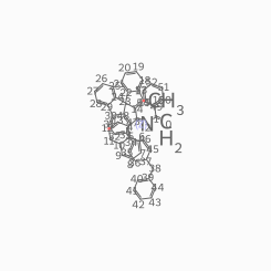 C=C(/N=C(/C1=C2C=CC=CC2CC=C1)C1=C(C)c2ccccc2C12c1ccccc1-c1ccc(C3=CCC(Cc4ccccc4)C=C3)cc12)c1ccccc1